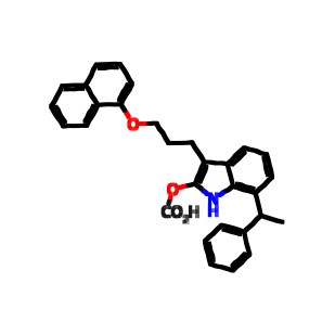 CC(c1ccccc1)c1cccc2c(CCCOc3cccc4ccccc34)c(OC(=O)O)[nH]c12